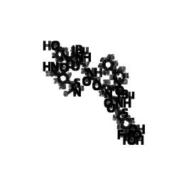 Cc1ncsc1-c1ccc([C@H](C)NC(=O)[C@@H]2C[C@@H](O)CN2C(=O)[C@@H](NC(=O)CCNC(=O)CO[C@H]2C[C@@H](C(=O)N3CCC[C@H](c4ccccc4)C3)N(C(=O)[C@@H](NC(=O)c3cc4cc(C(F)(F)P(=O)(O)O)ccc4s3)C(C)(C)C)C2)C(C)(C)C)cc1